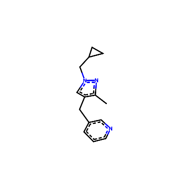 Cc1nn(CC2CC2)cc1Cc1cccnc1